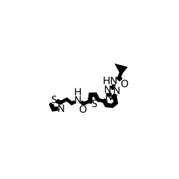 O=C(NCCc1nccs1)c1ccc(-c2cccc3nc(NC(=O)C4CC4)nn23)s1